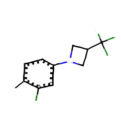 Cc1ccc(N2CC(C(F)(F)F)C2)cc1F